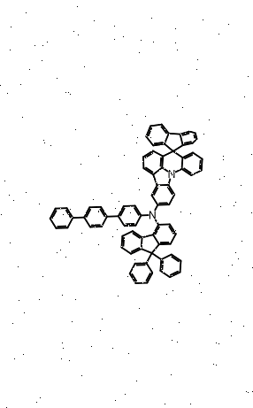 c1ccc(-c2ccc(-c3ccc(N(c4ccc5c(c4)c4cccc6c4n5-c4ccccc4C64c5ccccc5-c5ccccc54)c4cccc5c4-c4ccccc4C5(c4ccccc4)c4ccccc4)cc3)cc2)cc1